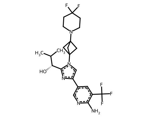 CC(C)[C@@H](O)c1nc(-c2cnc(N)c(C(F)(F)F)c2)cn1C12CC(N3CCC(F)(F)CC3)(C1)C2